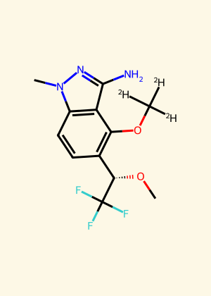 [2H]C([2H])([2H])Oc1c([C@H](OC)C(F)(F)F)ccc2c1c(N)nn2C